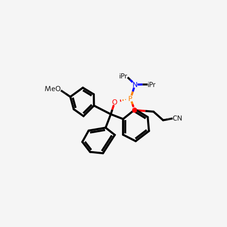 COc1ccc(C(O[P@@](OCCC#N)N(C(C)C)C(C)C)(c2ccccc2)c2ccccc2)cc1